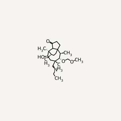 CC/N=C/[C@]1(C)C[C@@H](O)[C@@]2(C)C3C(=O)CCC3(CC[C@H]2C)[C@@H](C)[C@@H]1OCOC